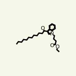 CCCCCCCCCCCC(=O)c1cn(CCCC(=O)OCC)c2ccccc12